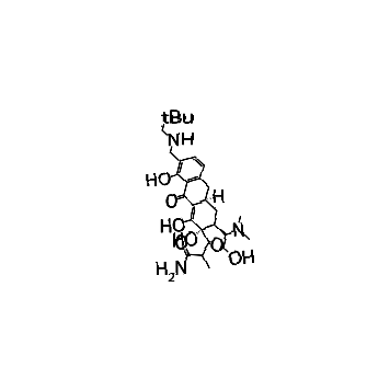 CC(C(N)=O)C(=O)[C@@]1(O)C(O)=C2C(=O)c3c(ccc(CNCC(C)(C)C)c3O)C[C@H]2C[C@H]1C(CO)N(C)C